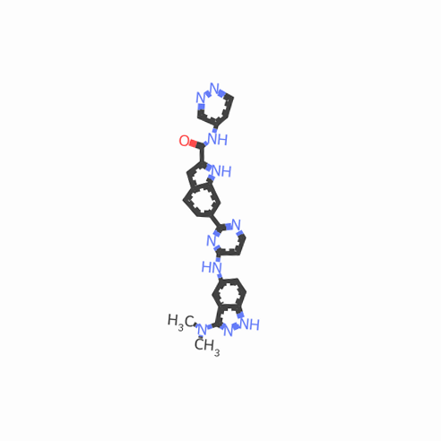 CN(C)c1n[nH]c2ccc(Nc3ccnc(-c4ccc5cc(C(=O)Nc6ccnnc6)[nH]c5c4)n3)cc12